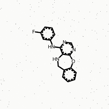 Fc1cccc(Nc2ncnc3c2NCc2ccccc2O3)c1